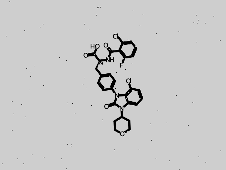 O=C(N[C@@H](Cc1ccc(-n2c(=O)n(C3CCOCC3)c3cccc(Cl)c32)cc1)C(=O)O)c1c(F)cccc1Cl